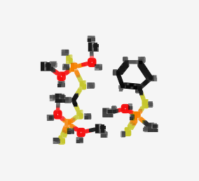 CCOP(=S)(CC)Sc1ccccc1.CCOP(=S)(OCC)SCSP(=S)(OCC)OCC